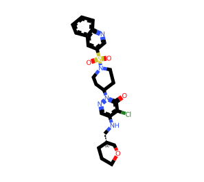 O=c1c(Cl)c(NC[C@H]2CCCOC2)cnn1C1CCN(S(=O)(=O)c2cnc3ccccc3c2)CC1